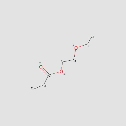 [CH2]COCCOC(=O)CC